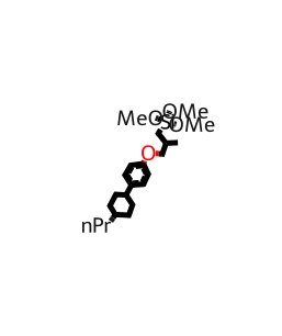 CCCC1CCC(c2ccc(OCC(C)C[Si](OC)(OC)OC)cc2)CC1